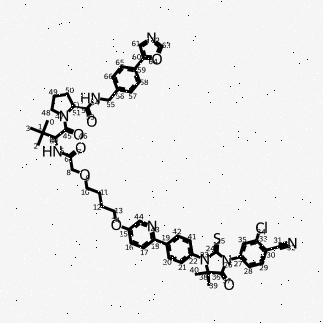 CC(C)(C)[C@H](NC(=O)COCCCCOc1ccc(-c2ccc(N3C(=S)N(c4ccc(C#N)c(Cl)c4)C(=O)C3(C)C)cc2)nc1)C(=O)N1CCC[C@H]1C(=O)NCc1ccc(-c2cnco2)cc1